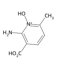 Cc1ccc(C(=O)O)c(N)[n+]1O